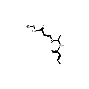 C/C=C/C(=O)NC(C)S/C=C/C(=O)NSS